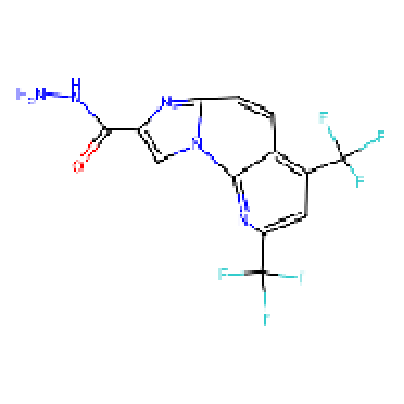 NNC(=O)c1cn2c(ccc3c(C(F)(F)F)cc(C(F)(F)F)nc32)n1